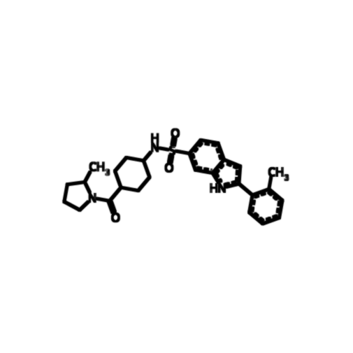 Cc1ccccc1-c1cc2ccc(S(=O)(=O)NC3CCC(C(=O)N4CCCC4C)CC3)cc2[nH]1